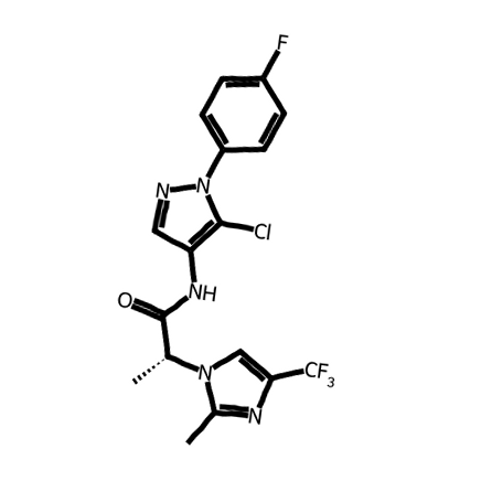 Cc1nc(C(F)(F)F)cn1[C@H](C)C(=O)Nc1cnn(-c2ccc(F)cc2)c1Cl